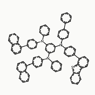 c1ccc(-c2ccc(N(c3ccc(-c4cccc5c4sc4ccccc45)cc3)c3cc(N(c4ccccc4)c4ccc(-c5cccc6ccccc56)cc4)cc(N(c4ccccc4)c4ccc(-c5cccc6ccccc56)cc4)c3)cc2)cc1